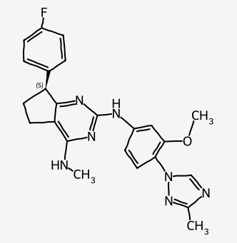 CNc1nc(Nc2ccc(-n3cnc(C)n3)c(OC)c2)nc2c1CC[C@H]2c1ccc(F)cc1